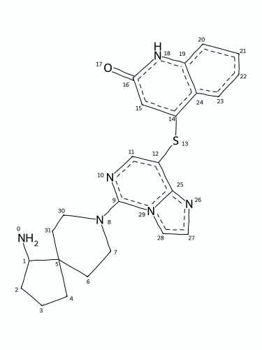 NC1CCCC12CCN(c1ncc(Sc3cc(=O)[nH]c4ccccc34)c3nccn13)CC2